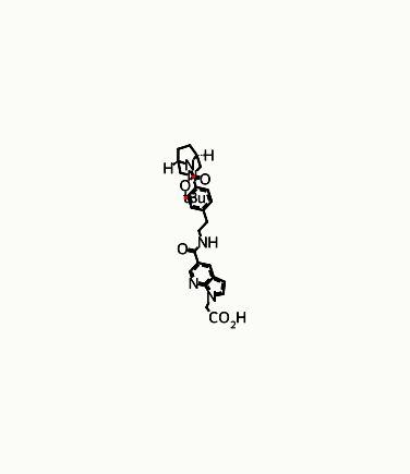 CC(C)(C)OC(=O)N1[C@H]2CC[C@H]1CN(c1ccc(CCNC(=O)c3cnc4c(ccn4CC(=O)O)c3)cc1)C2